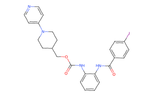 O=C(Nc1ccccc1NC(=O)c1ccc(I)cc1)OCC1CCN(c2ccncc2)CC1